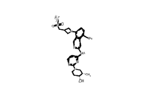 CC(C)c1ccc(N2CC(CS(C)(=O)=O)C2)c2cnc(Nc3ccnc(N4CC[C@@H](O)[C@@H](C)C4)n3)cc12